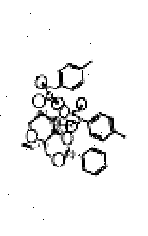 C=C[C@@]12CO[C@@H](c3ccccc3)O[C@H]1[C@H](OS(=O)(=O)c1ccc(C)cc1)[C@@H](OS(=O)(=O)c1ccc(C)cc1)CO2